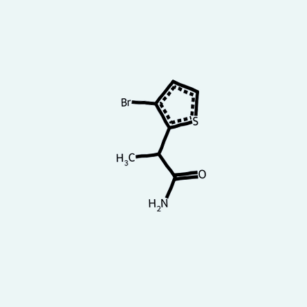 CC(C(N)=O)c1sccc1Br